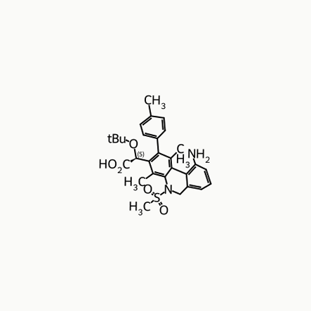 Cc1ccc(-c2c(C)c3c(c(C)c2[C@H](OC(C)(C)C)C(=O)O)N(S(C)(=O)=O)Cc2cccc(N)c2-3)cc1